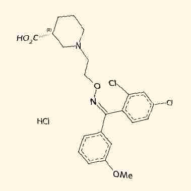 COc1cccc(C(=NOCCN2CCC[C@@H](C(=O)O)C2)c2ccc(Cl)cc2Cl)c1.Cl